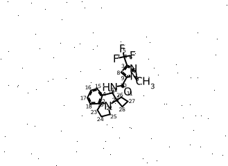 Cn1nc(C(F)(F)F)cc1C(=O)NC(c1ccccc1)C1(N2CCCC2)CCC1